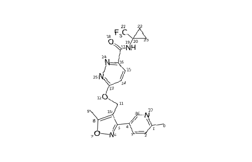 Cc1ccc(-c2noc(C)c2COc2ccc(C(=O)NC3(C(F)(F)F)CC3)nn2)cn1